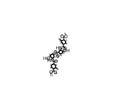 COC(=O)c1ccc(C(=O)Nc2cc(S(=O)(=O)c3ccc(O)c(NC(=O)c4ccc(C(=O)OC)c(C)c4)c3)ccc2O)cc1C